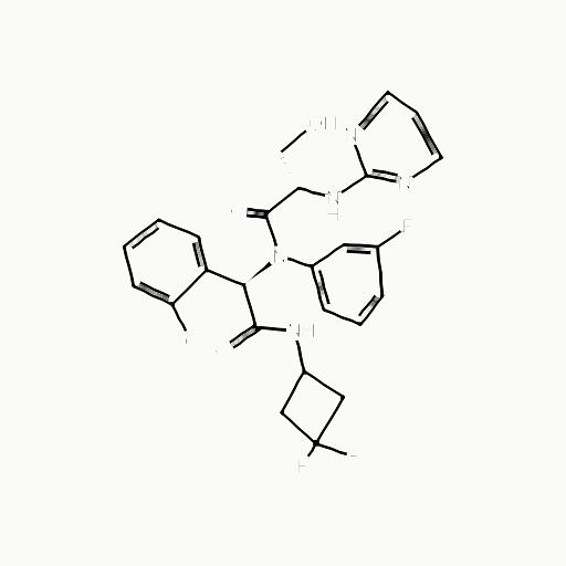 O=C(NC1CC(F)(F)C1)[C@@H](c1ccccc1Cl)N(C(=O)[C@H](CO)Nc1ncccn1)c1cccc(F)c1